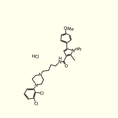 CCCn1c(-c2ccc(OC)cc2)cc(C(=O)NCCCCN2CCN(c3cccc(Cl)c3Cl)CC2)c1C.Cl